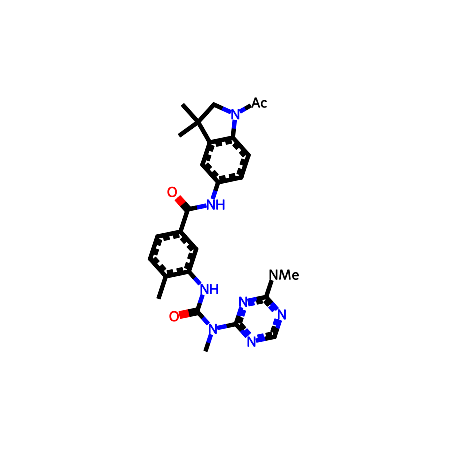 CNc1ncnc(N(C)C(=O)Nc2cc(C(=O)Nc3ccc4c(c3)C(C)(C)CN4C(C)=O)ccc2C)n1